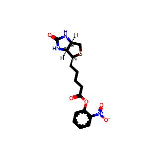 O=C1N[C@H]2[C@H](CS[C@H]2CCCCC(=O)Oc2ccccc2[N+](=O)[O-])N1